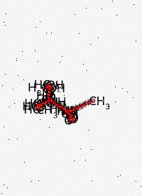 CCCCCCCCCCCCCCCCC(=O)N[C@@H](CCC(=O)ON1C(=O)CCC1=O)C(=O)NCCNC(=O)CCCCCNC(=O)CN(CC(=O)NCCO[C@@H]1O[C@@H](C)[C@@H](O)[C@@H](O)[C@@H]1O)CC(=O)NCCO[C@@H]1O[C@@H](C)[C@@H](O)[C@@H](O)[C@@H]1O